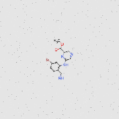 COC(=O)c1cncc(Nc2cc(Br)ccc2C=N)n1